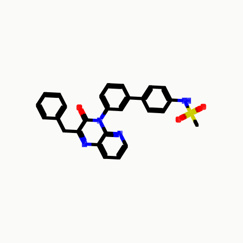 CS(=O)(=O)Nc1ccc(-c2cccc(-n3c(=O)c(Cc4ccccc4)nc4cccnc43)c2)cc1